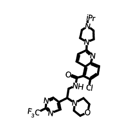 CC(C)N1CCN(c2ccc3c(C(=O)NCC(c4cnc(C(F)(F)F)nc4)N4CCOCC4)c(Cl)ccc3n2)CC1